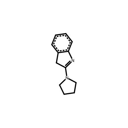 c1ccc2c(c1)CC(N1CCCC1)=N2